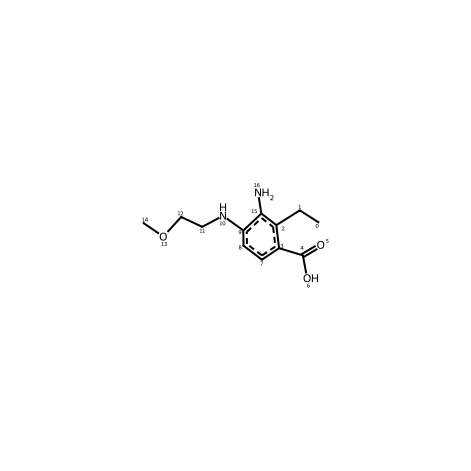 CCc1c(C(=O)O)ccc(NCCOC)c1N